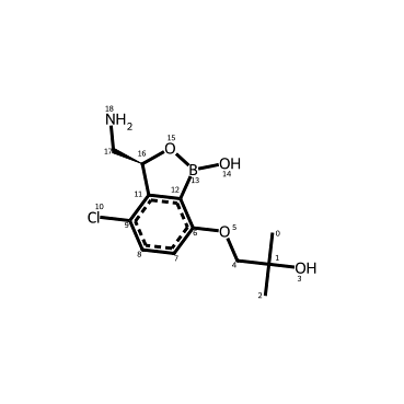 CC(C)(O)COc1ccc(Cl)c2c1B(O)O[C@@H]2CN